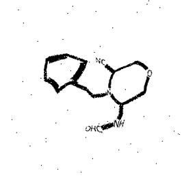 N#CC1COCC(NC=O)N1Cc1ccccc1